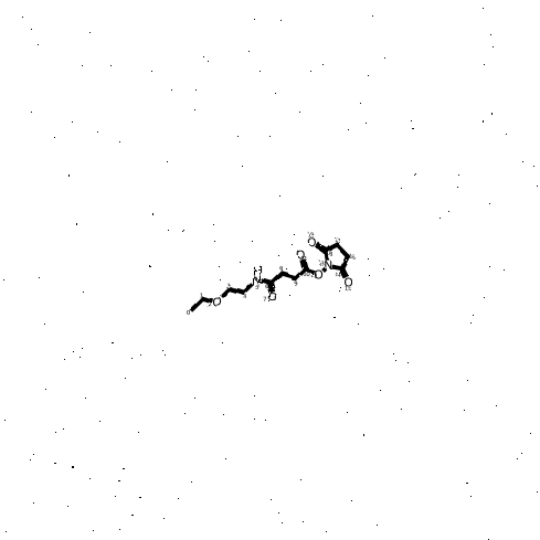 CCOCCNC(=O)CCC(=O)ON1C(=O)CCC1=O